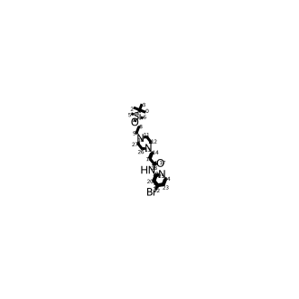 CC(C)(C)[Si](C)(C)OCCN1CCN(C=CC(=O)Nc2cc(Br)ccn2)CC1